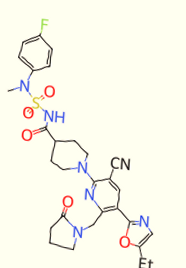 CCc1cnc(-c2cc(C#N)c(N3CCC(C(=O)NS(=O)(=O)N(C)c4ccc(F)cc4)CC3)nc2CN2CCCC2=O)o1